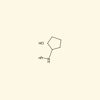 CCCNC1CCCC1.Cl